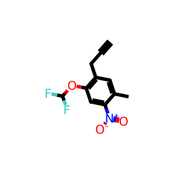 C#CCc1cc(C)c([N+](=O)[O-])cc1OC(F)F